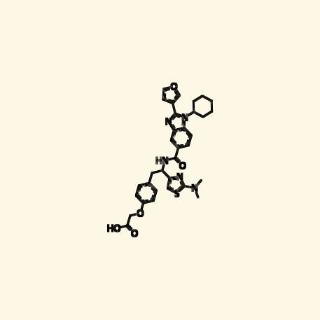 CN(C)c1nc(C(Cc2ccc(OCC(=O)O)cc2)NC(=O)c2ccc3c(c2)nc(-c2ccoc2)n3C2CCCCC2)cs1